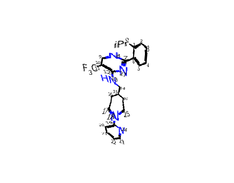 CC(C)c1ccccc1-c1ncc(C(F)(F)F)c(NCC2CCN(c3ccccn3)CC2)n1